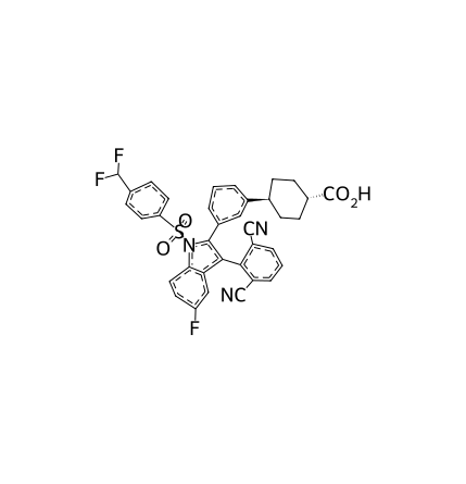 N#Cc1cccc(C#N)c1-c1c(-c2cccc([C@H]3CC[C@H](C(=O)O)CC3)c2)n(S(=O)(=O)c2ccc(C(F)F)cc2)c2ccc(F)cc12